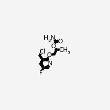 CC(COc1ncc(F)cc1CCl)OC(N)=O